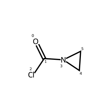 O=C(Cl)N1CC1